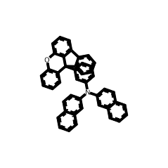 c1cc(N(c2ccc3ccccc3c2)c2ccc3ccccc3c2)cc(C23c4ccccc4Oc4cccc(c42)-c2ccccc23)c1